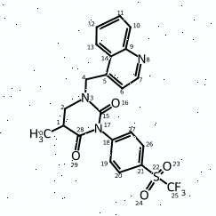 CC1CN(Cc2ccnc3ccccc23)C(=O)N(c2ccc(S(=O)(=O)C(F)(F)F)cc2)C1=O